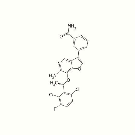 C[C@@H](Oc1c(N)ncc2c(-c3cccc(C(N)=O)c3)coc12)c1c(Cl)ccc(F)c1Cl